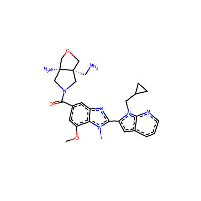 COc1cc(C(=O)N2C[C@@]3(N)COC[C@@]3(CN)C2)cc2nc(-c3cc4cccnc4n3CC3CC3)n(C)c12